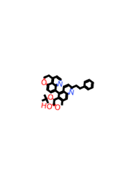 Cc1cc2nc(CCc3ccccc3)ccc2c(-c2ccc3c4c(ccnc24)CCO3)c1[C@H](OC(C)(C)C)C(=O)O